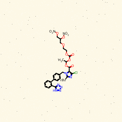 CCCCc1nc(Cl)c(C(=O)OC(C)OC(=O)OCCOCC(CO[N+](=O)[O-])O[N+](=O)[O-])n1Cc1ccc(-c2ccccc2-c2nnn[nH]2)cc1